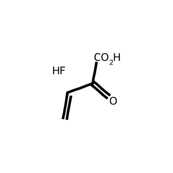 C=CC(=O)C(=O)O.F